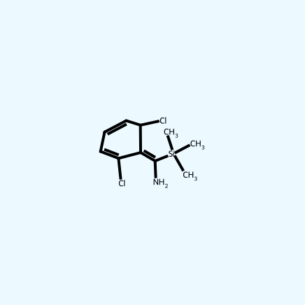 C[Si](C)(C)C(N)=C1C(Cl)=CC=CC1Cl